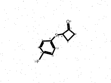 O=C1CCC1Sc1ccc(F)cc1